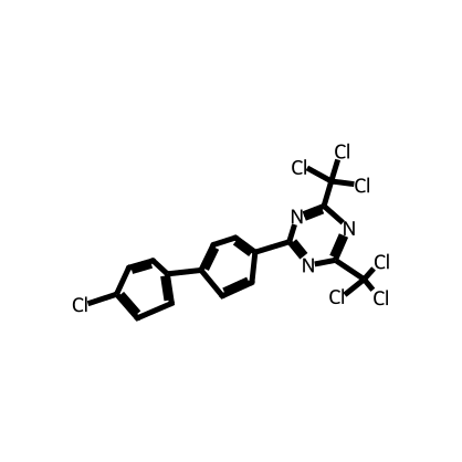 Clc1ccc(-c2ccc(-c3nc(C(Cl)(Cl)Cl)nc(C(Cl)(Cl)Cl)n3)cc2)cc1